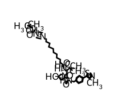 Cc1ncsc1-c1ccc(CNC(=O)[C@@H]2C[C@@H](O)CN2C(=O)C(NC(=O)CCCCCCCCCCN2CCN(C(=O)OC(C)(C)C)CC2)C(C)(C)C)cc1